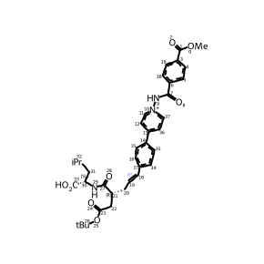 COC(=O)c1ccc(C(=O)N[n+]2ccc(-c3ccc(/C=C/C[C@H](CC(=O)OC(C)(C)C)C(=O)N[C@@H](CC(C)C)C(=O)O)cc3)cc2)cc1